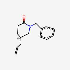 C=CC[C@@H]1CCC(=O)N(Cc2ccccc2)C1